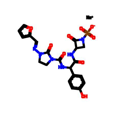 O=C(NC1CN(S(=O)(=O)[O-])C1=O)C(NC(=O)N1CCN(N=Cc2ccco2)C1=O)c1ccc(O)cc1.[Na+]